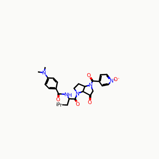 CC(C)CC(NC(=O)c1ccc(N(C)C)cc1)C(=O)N1CCC2C1C(=O)CN2C(=O)c1cc[n+]([O-])cc1